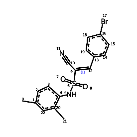 Cc1ccc(NS(=O)(=O)/C(C#N)=C/c2ccc(Br)cc2)c(C)c1